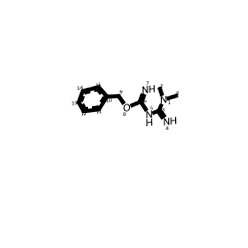 CN(C)C(=N)NC(=N)OCc1ccccc1